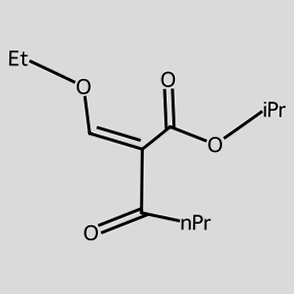 CCCC(=O)C(=COCC)C(=O)OC(C)C